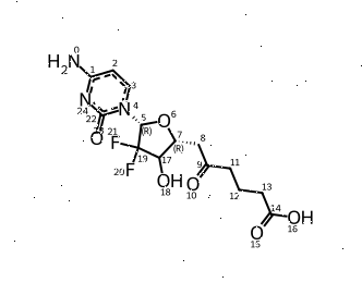 Nc1ccn([C@@H]2O[C@H](CC(=O)CCCC(=O)O)C(O)C2(F)F)c(=O)n1